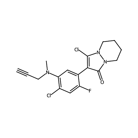 C#CCN(C)c1cc(-c2c(Cl)n3n(c2=O)CCCC3)c(F)cc1Cl